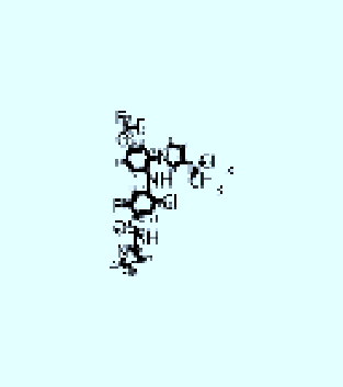 CN(C)[C@@H]1CCN(c2cc(OC(F)F)ccc2Nc2cc(F)c([S+]([O-])Nc3cscn3)cc2Cl)C1